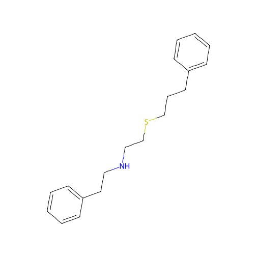 c1ccc(CCCSCCNCCc2ccccc2)cc1